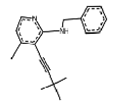 Cc1ccnc(NCc2ccccc2)c1C#CC(C)(C)C